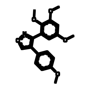 COc1ccc(-c2conc2-c2cc(OC)cc(OC)c2OC)cc1